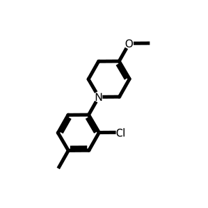 COC1=CCN(c2ccc(C)cc2Cl)CC1